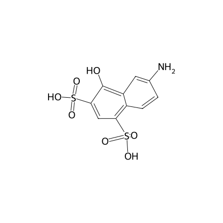 Nc1ccc2c(S(=O)(=O)O)cc(S(=O)(=O)O)c(O)c2c1